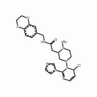 CCCCN1CCN(N2C(n3ccnc3)=NC=CC2Cl)CC1CC(=O)NCc1ccc2c(c1)OCCO2